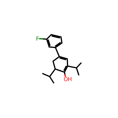 CC(C)C1=C(O)C(C(C)C)CC(c2cccc(F)c2)=C1